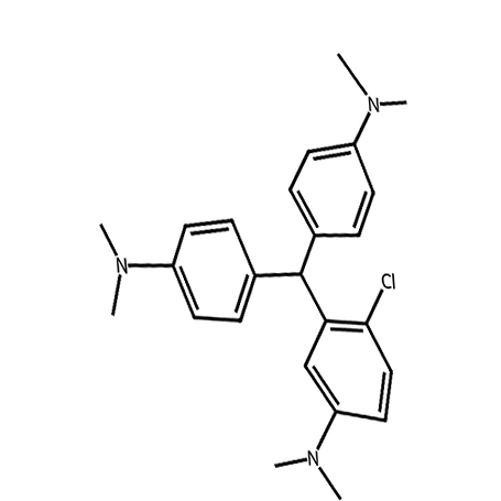 CN(C)c1ccc(C(c2ccc(N(C)C)cc2)c2cc(N(C)C)ccc2Cl)cc1